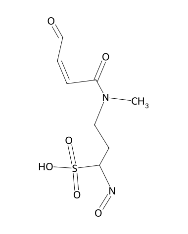 CN(CCC(N=O)S(=O)(=O)O)C(=O)/C=C\C=O